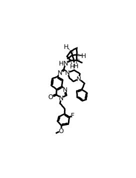 COc1ccc(CCn2cnc3cc(N=C(N[C@H]4C[C@H]5C[C@H]([C@H]4C)C5(C)C)N4CCN(Cc5ccccc5)CC4)ccc3c2=O)c(F)c1